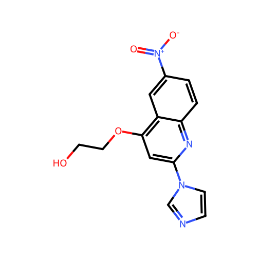 O=[N+]([O-])c1ccc2nc(-n3ccnc3)cc(OCCO)c2c1